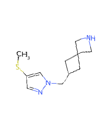 CSc1cnn(CC2CC3(CNC3)C2)c1